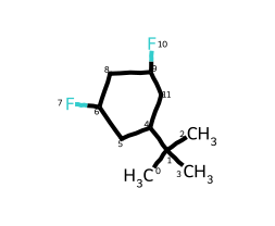 CC(C)(C)C1CC(F)CC(F)C1